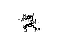 CNC(=O)c1ccc2c(C)cn(C(C)C(=O)Nc3cc(Cn4cc(C)cn4)ccc3CCCC(=O)O)c2c1